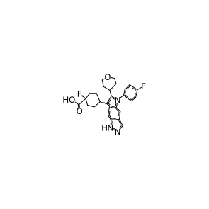 O=C(O)[C@]1(F)CC[C@@H](c2c(C3CCOCC3)n(-c3ccc(F)cc3)c3cc4cn[nH]c4cc32)CC1